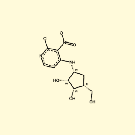 O=[N+]([O-])c1c(N[C@@H]2C[C@H](CO)[C@H](O)[C@@H]2O)ccnc1Cl